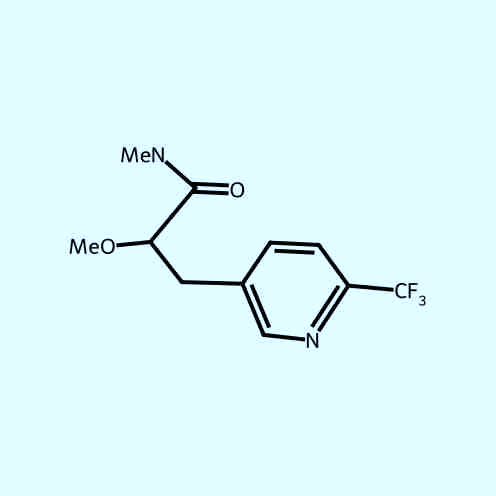 CNC(=O)C(Cc1ccc(C(F)(F)F)nc1)OC